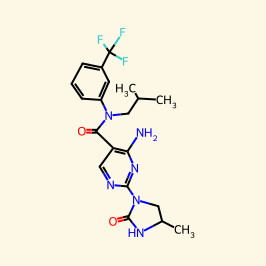 CC(C)CN(C(=O)c1cnc(N2CC(C)NC2=O)nc1N)c1cccc(C(F)(F)F)c1